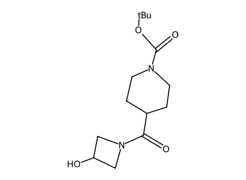 CC(C)(C)OC(=O)N1CCC(C(=O)N2CC(O)C2)CC1